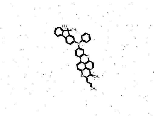 C=C/C=C1/Oc2ccc3c4c(ccc(c24)C1=C)Oc1cc(N(c2ccccc2)c2ccc4c(c2)C(C)(C)c2ccccc2-4)ccc1-3